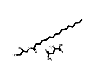 CCCCCCCCCCCCC/C=C/C(=O)OCC(O)CO.NC(=O)CC(N)C(=O)O